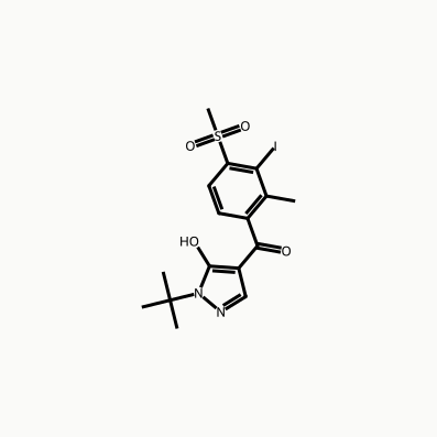 Cc1c(C(=O)c2cnn(C(C)(C)C)c2O)ccc(S(C)(=O)=O)c1I